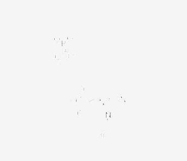 CC(C)(CN1CCCC1)n1cc(C(=O)OCCCC2(C)OB(B3OC(C)(C)C(C)(C)O3)OC2(C)C)c(=O)c2cc(Br)cnc21